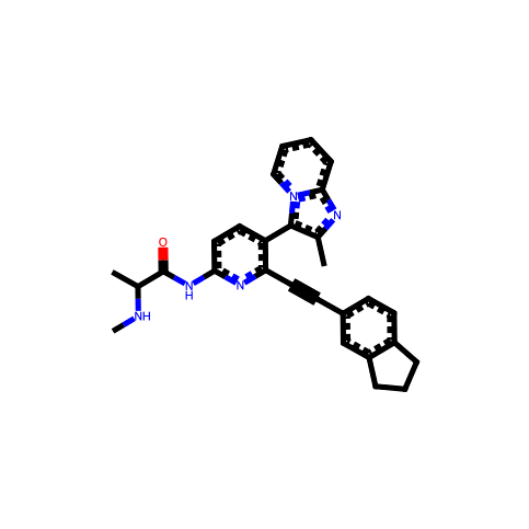 CNC(C)C(=O)Nc1ccc(-c2c(C)nc3ccccn23)c(C#Cc2ccc3c(c2)CCC3)n1